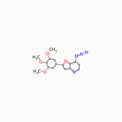 COc1cc(-c2cc3nccc(N=[N+]=[N-])c3o2)cc(OC)c1OC